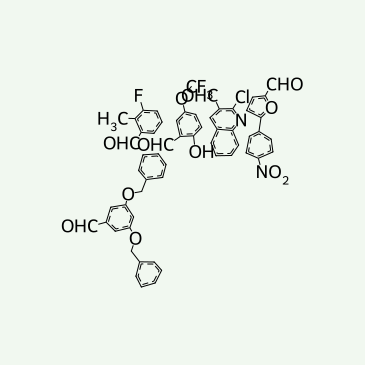 Cc1c(F)cccc1C=O.O=Cc1cc(OC(F)(F)F)ccc1O.O=Cc1cc(OCc2ccccc2)cc(OCc2ccccc2)c1.O=Cc1cc2ccccc2nc1Cl.O=Cc1ccc(-c2ccc([N+](=O)[O-])cc2)o1